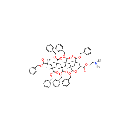 CCN(CC)CCOC(=O)C(C)CC(C)(CC(C)(CC(C)(CC(C)(CC(C)(CC(C)(CC(C)(CC)C(=O)OCc1ccccc1)C(=O)OCc1ccccc1)C(=O)OCc1ccccc1)C(=O)OCc1ccccc1)C(=O)OCc1ccccc1)C(=O)OCc1ccccc1)C(=O)OCc1ccccc1